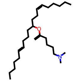 C=C(CCCCN(C)C)OC(CC/C=C\CCCCC)CCC/C=C/CCCCC